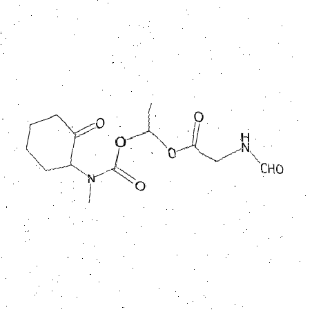 CC(OC(=O)CNC=O)OC(=O)N(C)C1CCCCC1=O